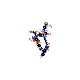 Cc1ncsc1-c1ccc([C@H](C)NC(=O)[C@@H]2C[C@@H](O)CN2C(=O)[C@@H](NCCCCCCCC(=O)N2CCN(C[C@]3(C)CCC(c4ccc(Cl)cc4)=C(CN4CCN(c5ccc(C(=O)NS(=O)(=O)c6ccc(N[C@H](CCN(C)CCO)CSc7ccccc7)c(S(=O)(=O)C(F)(F)F)c6)cc5)CC4)C3)CC2)C(C)(C)C)cc1